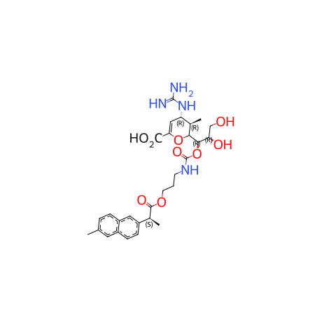 Cc1ccc2cc([C@H](C)C(=O)OCCCNC(=O)O[C@@H](C3OC(C(=O)O)=C[C@H](NC(=N)N)[C@H]3C)[C@H](O)CO)ccc2c1